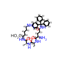 C[C@H](NC(=O)[C@H](C)NC(=O)[C@@H](N)CCC(=O)NC(c1ccccc1)(c1ccccc1)c1ccccc1)C(=O)N[C@@H](CCCCN)C(=O)O